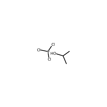 CC(C)O.[Cl][Ir]([Cl])[Cl]